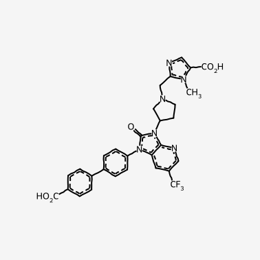 Cn1c(C(=O)O)cnc1CN1CCC(n2c(=O)n(-c3ccc(-c4ccc(C(=O)O)cc4)cc3)c3cc(C(F)(F)F)cnc32)C1